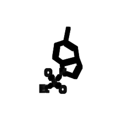 CCS(=O)(=O)n1ccc2cc(C)ccc21